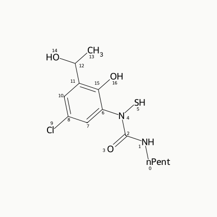 CCCCCNC(=O)N(S)c1cc(Cl)cc(C(C)O)c1O